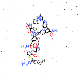 CCc1nc(C)oc1C(=O)Nc1nc2cc(C(N)=O)cc(OCCCN(C)C(=O)CCN3C(=O)CC(SC[C@H](N)C(=O)O)C3=O)c2n1C/C=C/Cn1c2cc(-c3cc(C)nn3CC)ncc2c2cc(C(N)=O)cc(OC)c21